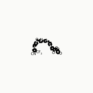 N#Cc1ccc(N2CCC3(CCN(C(=O)c4ccc(N5CCN(CC6CCN(c7ccc8c(c7)C(=O)N(C7CCC(=O)CC7=O)C8=O)CC6)CC5)nc4)CC3)C2)cc1C(F)(F)F